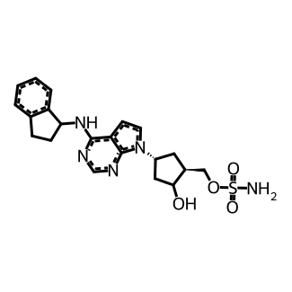 NS(=O)(=O)OC[C@@H]1C[C@@H](n2ccc3c(NC4CCc5ccccc54)ncnc32)CC1O